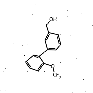 OCc1cccc(-c2ccccc2OC(F)(F)F)c1